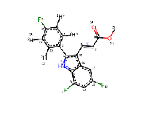 [2H]c1c([2H])c(-c2[nH]c3c(F)cc(F)cc3c2/C=C/C(=O)OC)c([2H])c([2H])c1F